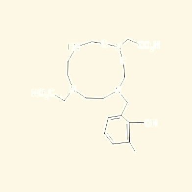 Cc1cccc(CN2CCN(CC(=O)O)CCNCCN(CC(=O)O)CC2)c1O